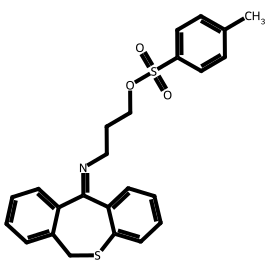 Cc1ccc(S(=O)(=O)OCCCN=C2c3ccccc3CSc3ccccc32)cc1